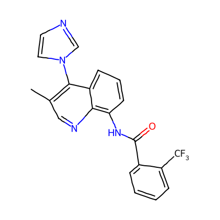 Cc1cnc2c(NC(=O)c3ccccc3C(F)(F)F)cccc2c1-n1ccnc1